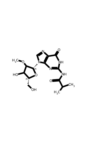 COC1C(O)[C@@H](CO)O[C@H]1n1cnc2c(=O)[nH]c(NC(=O)C(C)C)nc21